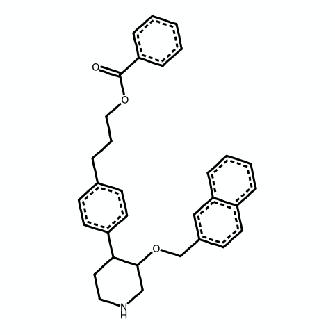 O=C(OCCCc1ccc(C2CCNCC2OCc2ccc3ccccc3c2)cc1)c1ccccc1